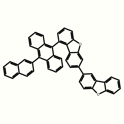 c1ccc2cc(-c3c4ccccc4c(-c4cccc5oc6cc(-c7ccc8oc9ccccc9c8c7)ccc6c45)c4ccccc34)ccc2c1